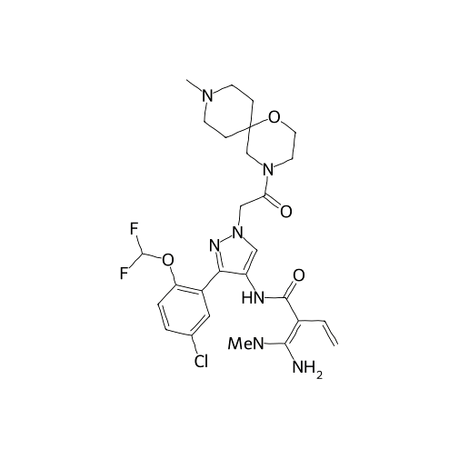 C=C/C(C(=O)Nc1cn(CC(=O)N2CCOC3(CCN(C)CC3)C2)nc1-c1cc(Cl)ccc1OC(F)F)=C(\N)NC